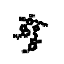 CC(C)CN(C[C@H]1C[C@@H](n2ccc3c(N)ncnc32)[C@H](O)[C@@H]1O)[C@H]1C[C@H](CCc2nc3cc(C(C)(C)C)ccc3[nH]2)C1